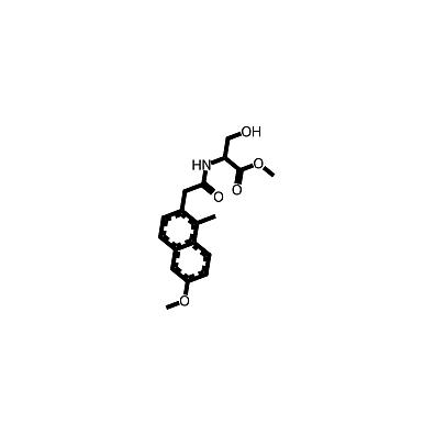 COC(=O)C(CO)NC(=O)Cc1ccc2cc(OC)ccc2c1C